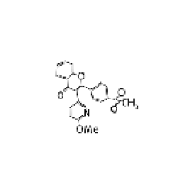 COc1ccc(-c2c(-c3ccc(S(C)(=O)=O)cc3)oc3ccccc3c2=O)cn1